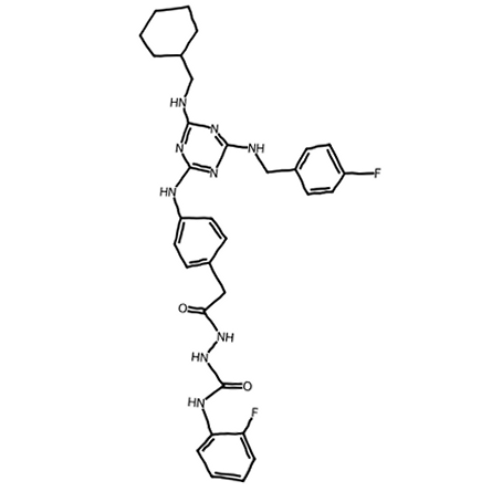 O=C(Cc1ccc(Nc2nc(NCc3ccc(F)cc3)nc(NCC3CCCCC3)n2)cc1)NNC(=O)Nc1ccccc1F